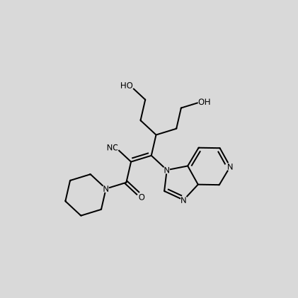 N#CC(C(=O)N1CCCCC1)=C(C(CCO)CCO)N1C=NC2CN=CC=C21